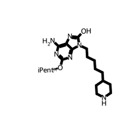 CCC[C@H](C)Oc1nc(N)c2nc(O)n(CCCCCC3CCNCC3)c2n1